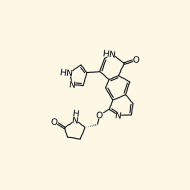 O=C1CC[C@@H](COc2nccc3cc4c(=O)[nH]cc(-c5cn[nH]c5)c4cc23)N1